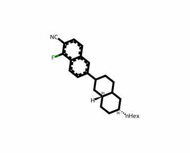 CCCCCC[C@@H]1CC[C@@H]2CC(c3ccc4c(F)c(C#N)ccc4c3)CCC2C1